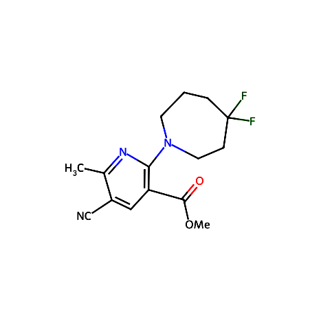 COC(=O)c1cc(C#N)c(C)nc1N1CCCC(F)(F)CC1